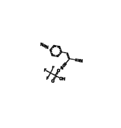 N#CC(C#N)=Cc1ccccc1.N#N.O=S(=O)(O)C(F)(F)F